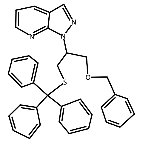 c1ccc(COCC(CSC(c2ccccc2)(c2ccccc2)c2ccccc2)n2ncc3cccnc32)cc1